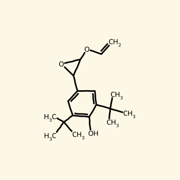 C=COC1OC1c1cc(C(C)(C)C)c(O)c(C(C)(C)C)c1